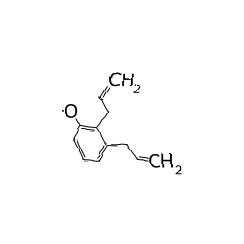 C=CCc1cccc([O])c1CC=C